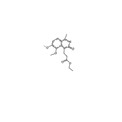 CCOC(=O)CCn1c(=O)nc(C)c2ccc(OC)c(OC)c21